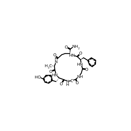 C[C@@H]1NC(=O)CC[C@@H](C(N)=O)NC(=O)[C@@H](Cc2ccccc2)NC(=O)CNC(=O)CNC(=O)[C@H](Cc2ccc(O)cc2)NC1=O